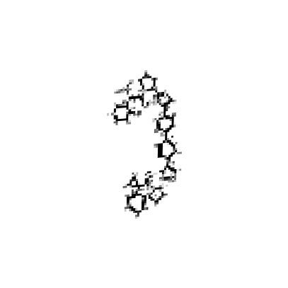 CN(C)[C@@H](C(=O)N1CCC[C@H]1c1ncc(-c2ccc(-c3ccc(-c4cnc([C@@H]5CCCN5C(=O)C5(c6ccccc6)CC5)[nH]4)cc3)cc2)[nH]1)c1ccccc1F